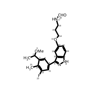 COC(C)c1cc(-c2n[nH]c3ccc(OCCCNC=O)cc23)cc(F)c1C